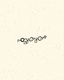 O=C(Cc1ccc(F)cc1Cl)N1CCN(CC(=O)N2CCN(C3CCC3)CC2)CC1